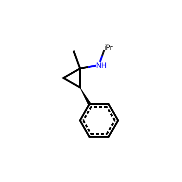 CC(C)NC1(C)C[C@@H]1c1ccccc1